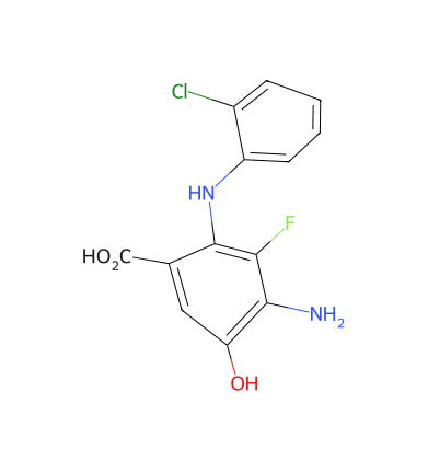 Nc1c(O)cc(C(=O)O)c(Nc2ccccc2Cl)c1F